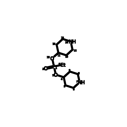 CCP(=O)(OC1CCNCC1)OC1CCNCC1